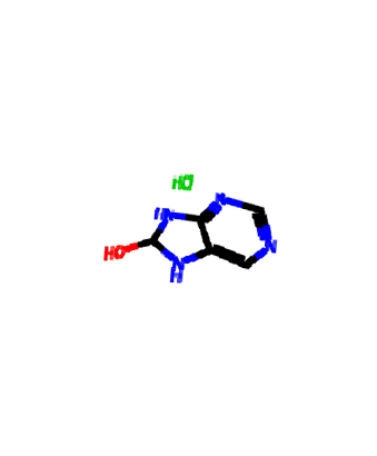 Cl.OC1Nc2cncnc2N1